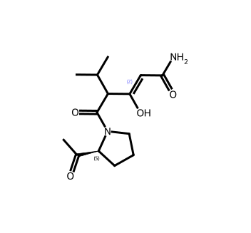 CC(=O)[C@@H]1CCCN1C(=O)C(/C(O)=C/C(N)=O)C(C)C